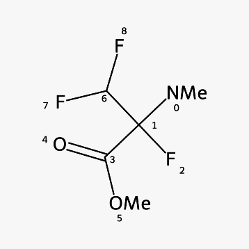 CNC(F)(C(=O)OC)C(F)F